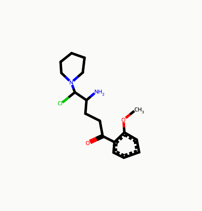 COc1ccccc1C(=O)CCC(N)C(Cl)N1CCCCC1